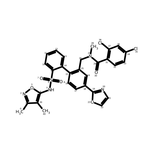 Cc1noc(NS(=O)(=O)c2ccccc2-c2ccc(-c3ncco3)cc2CN(C)C(=O)c2ccc(Cl)cc2Cl)c1C